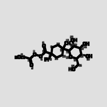 CCCCCCCCC(=O)OOC(=O)C1(C(C)C)CCC(C)(C2O[C@H](CO)[C@@H](O)[C@H](O)[C@H]2O)CC1